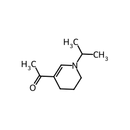 CC(=O)C1=CN(C(C)C)CCC1